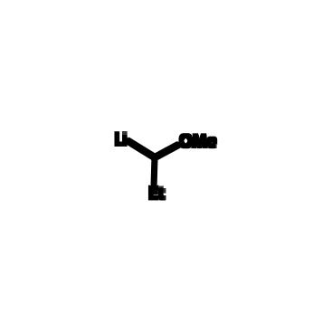 [Li][CH](CC)OC